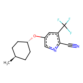 C[C@H]1CC[C@H](Oc2cnc(C#N)c(C(F)(F)F)c2)CC1